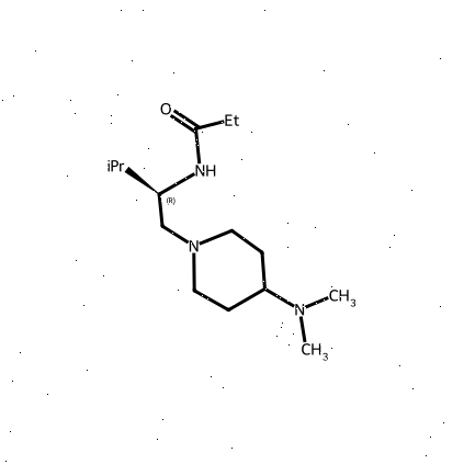 CCC(=O)N[C@@H](CN1CCC(N(C)C)CC1)C(C)C